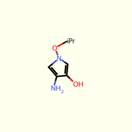 CC(C)On1cc(N)c(O)c1